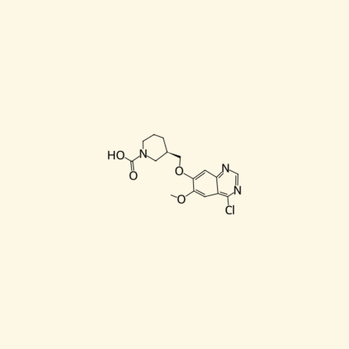 COc1cc2c(Cl)ncnc2cc1OC[C@@H]1CCCN(C(=O)O)C1